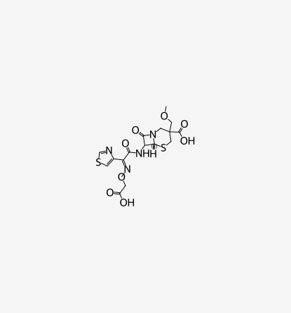 COCC1(C(=O)O)CS[C@@H]2C(NC(=O)C(=NOCC(=O)O)c3cscn3)C(=O)N2C1